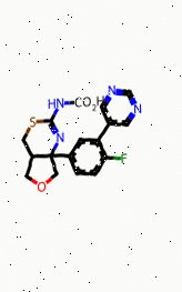 O=C(O)NC1=NC2(c3ccc(F)c(-c4cncnc4)c3)COCC2CS1